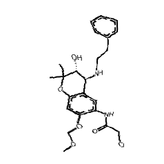 COCOc1cc2c(cc1NC(=O)CCl)[C@H](NCCc1ccccc1)[C@@H](O)C(C)(C)O2